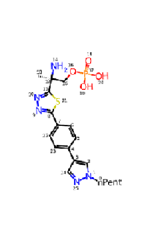 CCCCCn1cc(-c2ccc(-c3nnc([C@@](C)(N)COP(=O)(O)O)s3)cc2)cn1